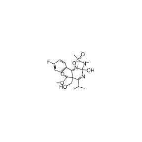 COC(=O)C1(CO)C(c2ccc(F)cc2)=NC(O)(N(C)S(C)(=O)=O)N=C1C(C)C